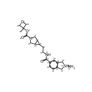 CC1(OC(=O)N2CC3C(CCNC(=O)c4ccc5c(c4)C[SH](N)C5)C3C2)COC1